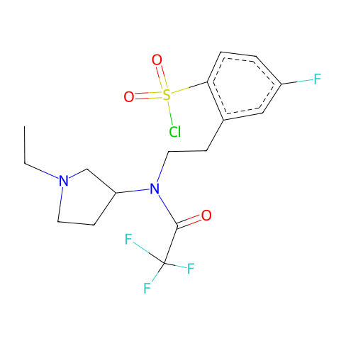 CCN1CCC(N(CCc2cc(F)ccc2S(=O)(=O)Cl)C(=O)C(F)(F)F)C1